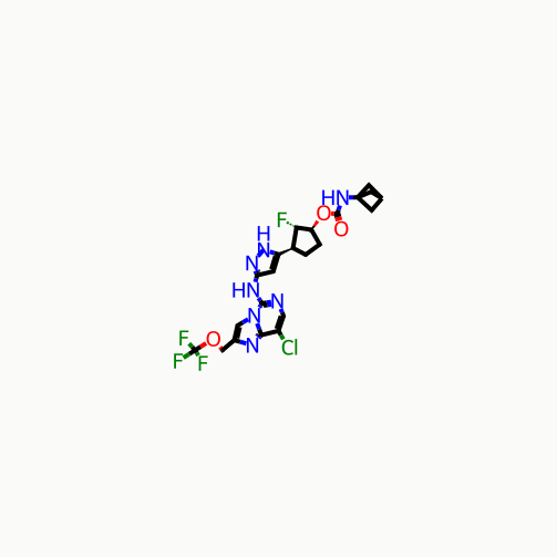 O=C(NC12CC(C1)C2)O[C@H]1CC[C@@H](c2cc(Nc3ncc(Cl)c4nc(COC(F)(F)F)cn34)n[nH]2)[C@@H]1F